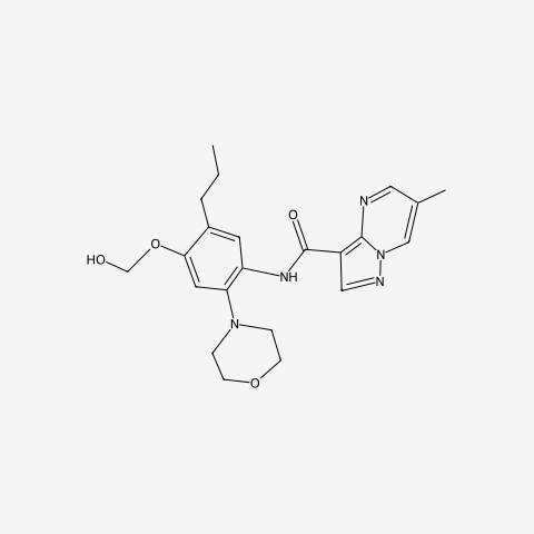 CCCc1cc(NC(=O)c2cnn3cc(C)cnc23)c(N2CCOCC2)cc1OCO